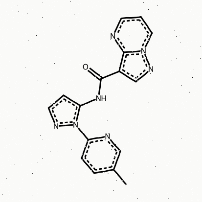 Cc1ccc(-n2nccc2NC(=O)c2cnn3cccnc23)nc1